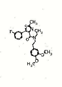 CCN(CCc1ccc(OC)c(OC)c1)C(=O)c1nc(C)sc1-c1cccc(F)c1